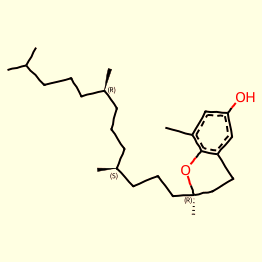 Cc1cc(O)cc2c1O[C@](C)(CCC[C@@H](C)CCC[C@H](C)CCCC(C)C)CC2